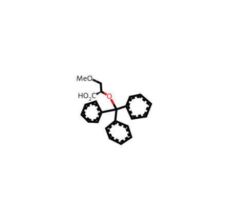 COC[C@@H](OC(c1ccccc1)(c1ccccc1)c1ccccc1)C(=O)O